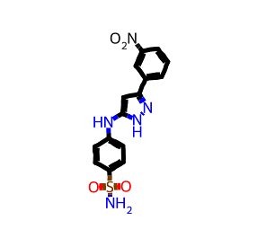 NS(=O)(=O)c1ccc(Nc2cc(-c3cccc([N+](=O)[O-])c3)n[nH]2)cc1